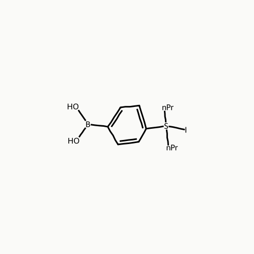 CCCS(I)(CCC)c1ccc(B(O)O)cc1